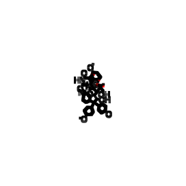 COc1ccc(C(c2ccccc2)(c2ccc(OC)cc2)C(O)[C@H]2O[C@@](C#N)(n3cc(C)c(=O)[nH]c3=O)C(Cc3cccc(OC)c3)([SiH](C)C)[C@@]2(O)C(C)(C)C)cc1